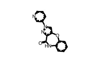 O=C1Nc2ccccc2Oc2cn(-c3cccnc3)nc21